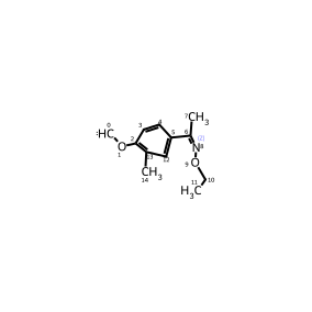 [CH]Oc1ccc(/C(C)=N\OCC)cc1C